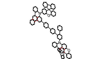 c1ccc(-c2cc(-c3ccc(-c4ccc(-c5cc(N(c6ccc7c(c6)C6(c8ccccc8O7)c7ccccc7-c7ccccc76)c6ccccc6-c6ccccc6)ccc5-c5ccccc5)cc4)cc3)cc(N(c3ccc4c(c3)Oc3ccccc3C43c4ccccc4-c4ccccc43)c3ccccc3-c3ccccc3)c2)cc1